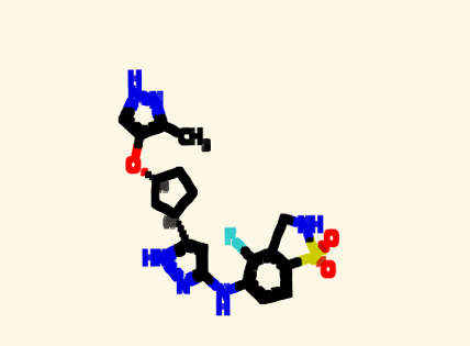 Cc1n[nH]cc1O[C@@H]1CC[C@H](c2cc(Nc3ccc4c(c3F)CNS4(=O)=O)n[nH]2)C1